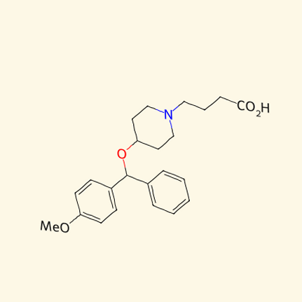 COc1ccc(C(OC2CCN(CCCC(=O)O)CC2)c2ccccc2)cc1